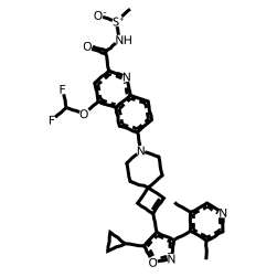 Cc1cncc(C)c1-c1noc(C2CC2)c1C1=CC2(CCN(c3ccc4nc(C(=O)N[S+](C)[O-])cc(OC(F)F)c4c3)CC2)C1